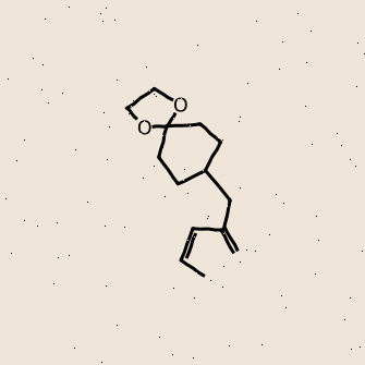 C=C(/C=C\C)CC1CCC2(CC1)OCCO2